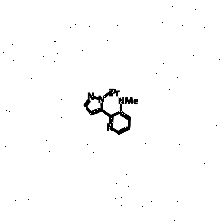 CNc1cccnc1-c1ccnn1C(C)C